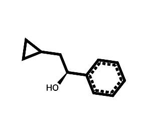 O[C@@H](CC1CC1)c1ccccc1